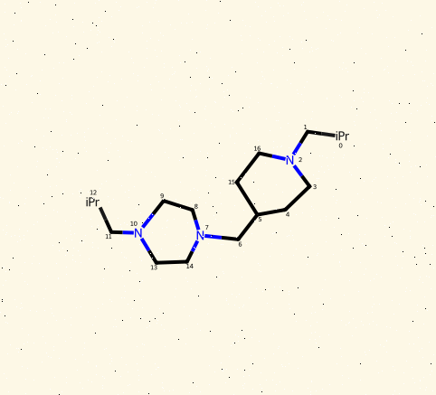 CC(C)CN1CCC(CN2CCN(CC(C)C)CC2)CC1